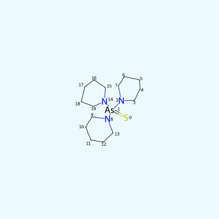 S=[As](N1CCCCC1)(N1CCCCC1)N1CCCCC1